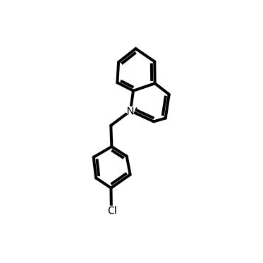 Clc1ccc(C[n+]2cccc3ccccc32)cc1